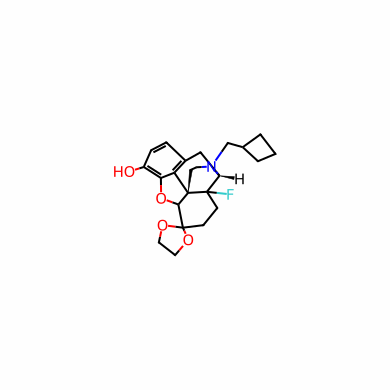 Oc1ccc2c3c1OC1C4(CCC5(F)[C@@H](C2)N(CC2CCC2)CC[C@]315)OCCO4